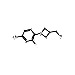 Nc1ccc(N2CC(CO)C2)c(F)c1